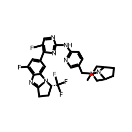 CCN1C2CCC1CN(Cc1ccc(Nc3ncc(F)c(-c4cc(F)c5nc6n(c5c4)[C@H](C(F)(F)F)CC6)n3)nc1)C2